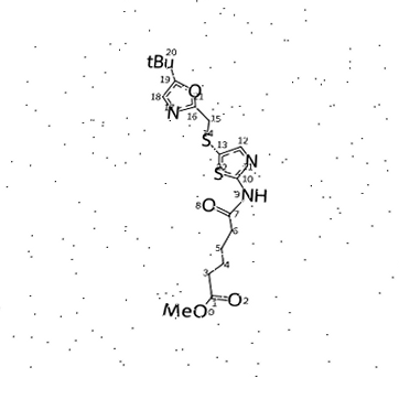 COC(=O)CCCCC(=O)Nc1ncc(SCc2ncc(C(C)(C)C)o2)s1